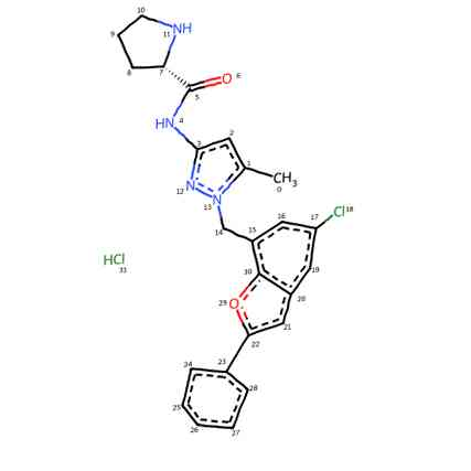 Cc1cc(NC(=O)[C@@H]2CCCN2)nn1Cc1cc(Cl)cc2cc(-c3ccccc3)oc12.Cl